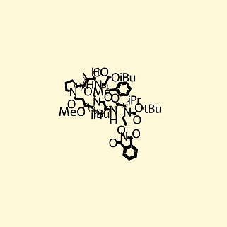 CC[C@H](C)[C@@H]([C@@H](CC(=O)N1CCC[C@H]1[C@H](OC)[C@@H](C)C(=O)N[C@@H](Cc1ccccc1)C(O)OCC(C)C)OC)N(C)C(=O)[C@@H](NC(=O)[C@H](C(C)C)N(CCON1C(=O)c2ccccc2C1=O)C(=O)OC(C)(C)C)C(C)C